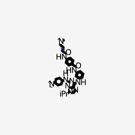 CC(C)n1cnc2c(Nc3cccc(NC(=O)c4ccc(NC(=O)/C=C/CN(C)C)cc4)c3)nc(NC3CCC(N(C)C)CC3)nc21